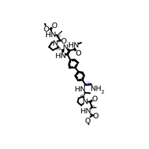 CNC(=O)c1nc([C@@H]2CCCN2C(=O)[C@H](C)NC(=O)OC)[nH]c1-c1ccc(-c2ccc(/C(=C/N)NC(C)[C@@H]3CCCN3C(=O)[C@@H](C)NC(=O)OC)cc2)cc1